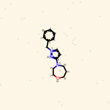 c1ccc(Cn2ccc(N3CCCOCC3)n2)cc1